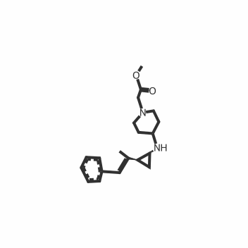 COC(=O)CN1CCC(N[C@@H]2C[C@H]2/C(C)=C/c2ccccc2)CC1